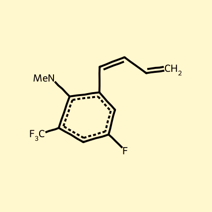 C=C/C=C\c1cc(F)cc(C(F)(F)F)c1NC